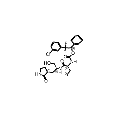 CC(C)C[C@H](NC(=O)O[C@H](c1ccccc1)C(F)(F)c1cccc(Cl)c1)C(=O)N[C@H](CO)C[C@@H]1CCNC1=O